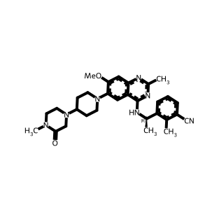 COc1cc2nc(C)nc(N[C@H](C)c3cccc(C#N)c3C)c2cc1N1CCC(N2CCN(C)C(=O)C2)CC1